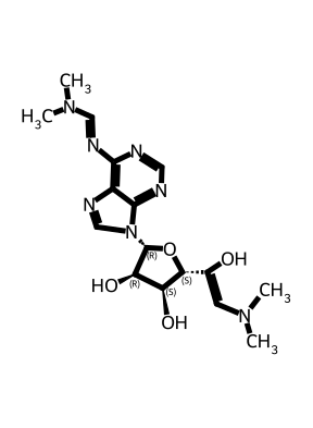 CN(C)C=Nc1ncnc2c1ncn2[C@@H]1O[C@H](C(O)=CN(C)C)[C@@H](O)[C@H]1O